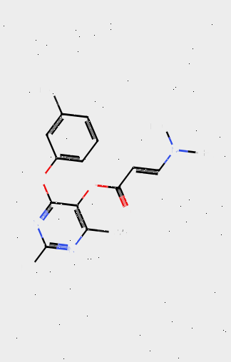 CSc1nc(C)nc(Oc2cccc(C(F)(F)F)c2)c1OC(=O)C=CN(C)C